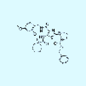 COc1ccc(CNC(=O)c2nc([C@H]3CCCN3C(=O)OCc3ccccc3)sc2NC(=O)C2(F)CCCCC2)c(OC)c1